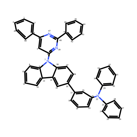 c1ccc(-c2cc(-n3c4ccccc4c4cc(-c5cccc(N(c6ccccc6)c6ccccc6)c5)ccc43)nc(-c3ccccc3)n2)cc1